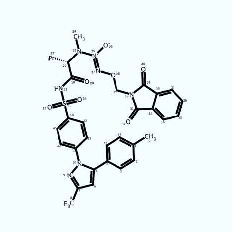 Cc1ccc(-c2cc(C(F)(F)F)nn2-c2ccc(S(=O)(=O)NC(=O)[C@H](C(C)C)N(C)[N+]([O-])=NOCN3C(=O)c4ccccc4C3=O)cc2)cc1